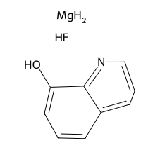 F.Oc1cccc2cccnc12.[MgH2]